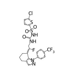 O=C(NCC(F)=C1CCCc2cnn(-c3ccc(C(F)(F)F)cc3)c21)NS(=O)(=O)c1ccc(Cl)s1